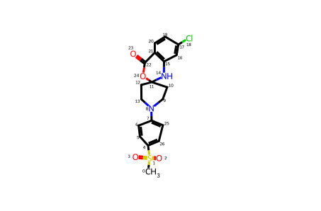 CS(=O)(=O)c1ccc(N2CCC3(CC2)Nc2cc(Cl)ccc2C(=O)O3)cc1